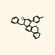 Cc1ccc(C2=CC(=O)C(Cc3ccccc3)c3ccc4c(c32)CCC2=C4C=CCC2)cc1